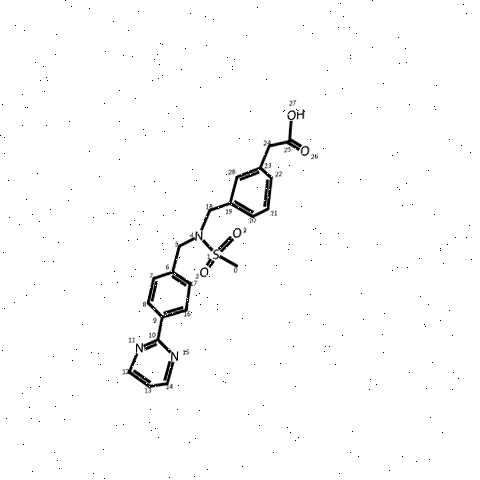 CS(=O)(=O)N(Cc1ccc(-c2ncccn2)cc1)Cc1cccc(CC(=O)O)c1